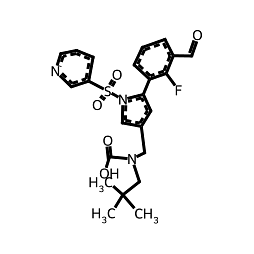 CC(C)(C)CN(Cc1cc(-c2cccc(C=O)c2F)n(S(=O)(=O)c2cccnc2)c1)C(=O)O